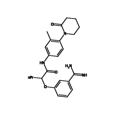 CCCC(Oc1cccc(C(=N)N)c1)C(=O)Nc1ccc(N2CCCCC2=O)c(C)c1